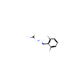 NC(=S)NN=Cc1c(Cl)cccc1Cl